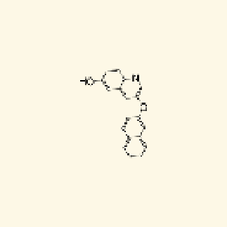 Oc1ccc2ncc(Oc3ccc4ccccc4c3)cc2c1